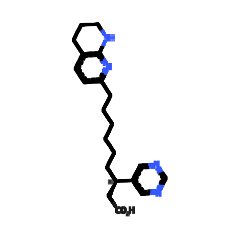 O=C(O)C[C@@H](CCCCCCc1ccc2c(n1)NCCC2)c1cncnc1